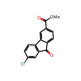 COC(=O)c1ccc2c(c1)-c1ccc(Cl)cc1C2=O